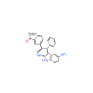 COC(=O)c1cccc(-c2cnc3[nH]c4ccc(N)cc4c3c2-c2ccccc2)c1